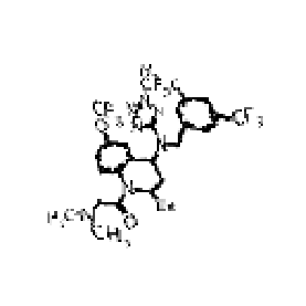 CCC1CC(N(Cc2cc(C(F)(F)F)cc(C(F)(F)F)c2)c2nnn(C)n2)c2cc(OC(F)(F)F)ccc2N1C(=O)CN(C)C